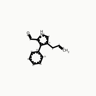 C=CCc1c[nH]c(C=O)c1-c1ccccc1